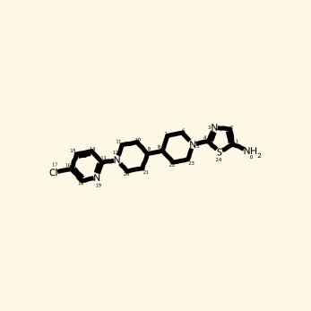 Nc1cnc(N2CCC(C3CCN(c4ccc(Cl)cn4)CC3)CC2)s1